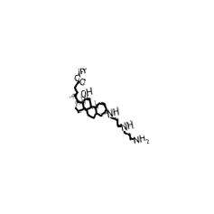 CC(C)OC(=O)CC[C@@H](C)[C@H]1CCC2C3CCC4C[C@@H](NCCCNCCCN)CC[C@]4(C)C3C[C@H](O)[C@@]21C